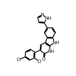 O=c1[nH]c2[nH]c3ccc(-c4ccn[nH]4)cc3c2cc1-c1ccc(Cl)cc1Cl